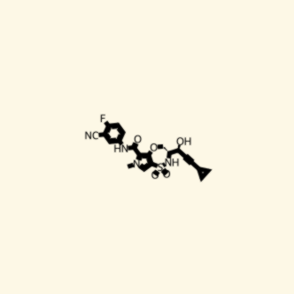 Cn1cc2c(c1C(=O)Nc1ccc(F)c(C#N)c1)OC[C@H]([C@@H](O)C#CC1CC1)NS2(=O)=O